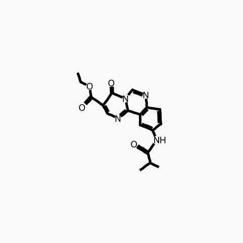 CCOC(=O)c1cnc2c3cc(NC(=O)C(C)C)ccc3ncn2c1=O